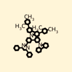 Cc1ccc(-c2ccc3c(c2)c2cc(-c4ccc(C)cc4C)ccc2n3-c2ccc(-c3nc(-c4ccccc4)cc(-c4ccccc4)n3)cc2-c2cccc(-n3c4ccccc4c4ccccc43)c2)c(C)c1